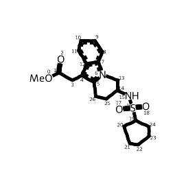 COC(=O)Cc1c2n(c3ccccc13)CC(NS(=O)(=O)C1CCCCC1)CC2